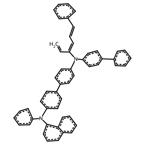 C=C/C(=C\C=C\c1ccccc1)N(c1ccc(-c2ccccc2)cc1)c1ccc(-c2ccc(N(c3ccccc3)c3cccc4ccccc34)cc2)cc1